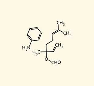 C=CC(C)(CCC=C(C)C)OC=O.Nc1ccccc1